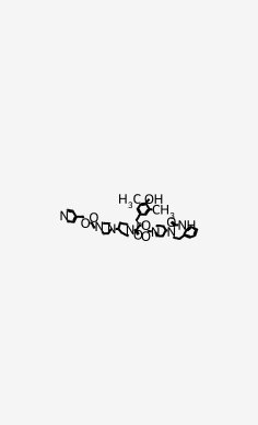 Cc1cc(C[C@@H](OC(=O)N2CCC(N3CCc4ccccc4NC3=O)CC2)C(=O)N2CCC(N3CCN(CC(=O)OCc4ccncc4)CC3)CC2)cc(C)c1O